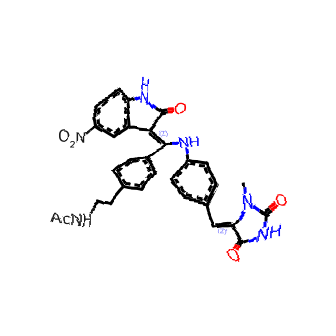 CC(=O)NCCc1ccc(/C(Nc2ccc(/C=C3/C(=O)NC(=O)N3C)cc2)=C2/C(=O)Nc3ccc([N+](=O)[O-])cc32)cc1